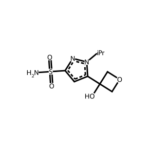 CC(C)n1nc(S(N)(=O)=O)cc1C1(O)COC1